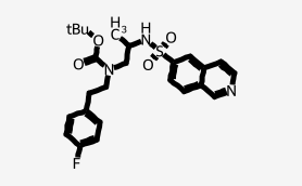 CC(CN(CCc1ccc(F)cc1)C(=O)OC(C)(C)C)NS(=O)(=O)c1ccc2cnccc2c1